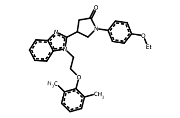 CCOc1ccc(N2CC(c3nc4ccccc4n3CCOc3c(C)cccc3C)CC2=O)cc1